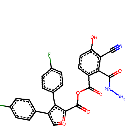 N#Cc1c(O)ccc(C(=O)OC(=O)c2occ(-c3ccc(F)cc3)c2-c2ccc(F)cc2)c1C(=O)NN